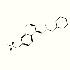 CN(/C=C(\C=N/C=O)c1ccc(OS(=O)(=O)C(F)(F)F)cc1)CC1CCCCO1